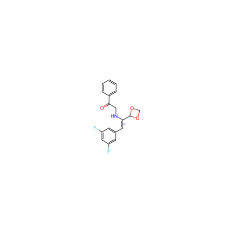 O=C(CN/C(=C\c1cc(F)cc(F)c1)C1OCO1)c1ccccc1